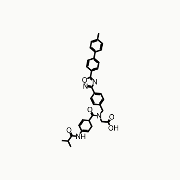 Cc1ccc(-c2ccc(-c3nc(-c4ccc(CN(CC(=O)O)C(=O)C5C=CC(NC(=O)C(C)C)=CC5)cc4)no3)cc2)cc1